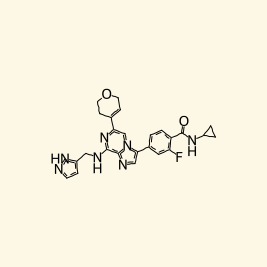 O=C(NC1CC1)c1ccc(-c2cnc3c(NCc4ccn[nH]4)nc(C4=CCOCC4)cn23)cc1F